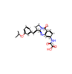 CC(C)Oc1cccc(C=C2CCn3c2nc2cc(NC(=O)C(=O)O)ccc2c3=O)c1